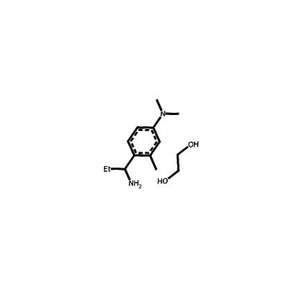 CCC(N)c1ccc(N(C)C)cc1C.OCCO